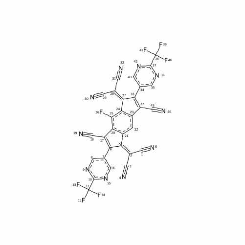 N#CC(C#N)=C1C(c2cnc(C(F)(F)F)nc2)=C(C#N)c2c1cc1c(c2F)C(=C(C#N)C#N)C(c2cnc(C(F)(F)F)nc2)=C1C#N